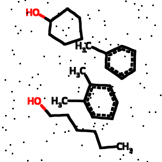 CCCCCCO.Cc1ccccc1.Cc1ccccc1C.OC1CCCCC1